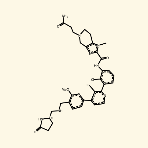 COc1nc(-c2ccnc(-c3cccc(NC(=O)c4nc5c(n4C)CCN(CCC(N)=O)C5)c3Cl)c2Cl)ccc1CNC[C@H]1CCC(=O)N1